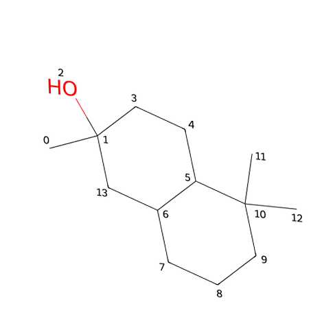 CC1(O)CCC2C(CCCC2(C)C)C1